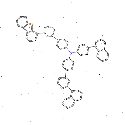 c1cc(-c2ccc(N(c3ccc(-c4cccc(-c5cccc6c5sc5ccccc56)c4)cc3)c3ccc(-c4cccc5ccccc45)cc3)cc2)cc(-c2cccc3ccccc23)c1